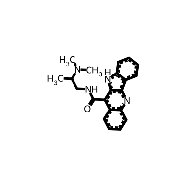 CC(CNC(=O)c1c2ccccc2nc2c1[nH]c1ccccc12)N(C)C